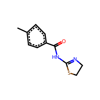 Cc1ccc(C(=O)NC2=NCCS2)cc1